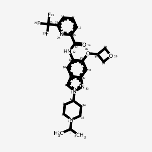 CC(C)N1CCC(n2cc3cc(NC(=O)c4cccc(C(F)(F)F)n4)c(OC4COC4)cc3n2)CC1